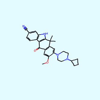 COc1cc2c(cc1N1CCN(C3CCC3)CC1)C(C)(C)c1[nH]c3cc(C#N)ccc3c1C2=O